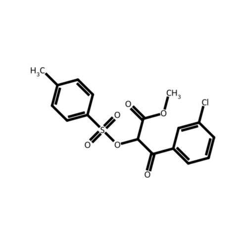 COC(=O)C(OS(=O)(=O)c1ccc(C)cc1)C(=O)c1cccc(Cl)c1